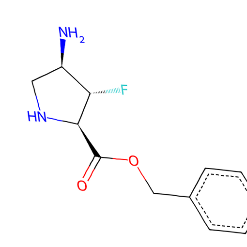 N[C@@H]1CN[C@H](C(=O)OCc2ccccc2)[C@H]1F